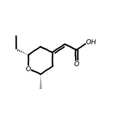 CC[C@@H]1C/C(=C/C(=O)O)C[C@H](C)O1